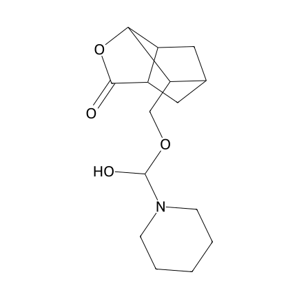 O=C1OC2C(COC(O)N3CCCCC3)C3CC1C2C3